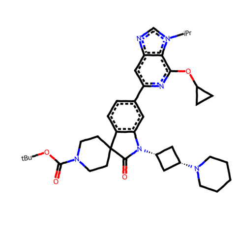 CC(C)n1cnc2cc(-c3ccc4c(c3)N([C@H]3C[C@@H](N5CCCCC5)C3)C(=O)C43CCN(C(=O)OC(C)(C)C)CC3)nc(OC3CC3)c21